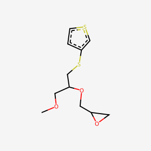 COCC(CSc1ccsc1)OCC1CO1